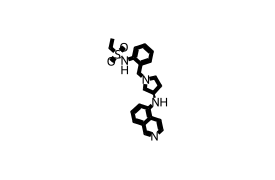 CCS(=O)(=O)Nc1ccccc1CN1CC[C@@H](Nc2cccc3cnccc23)C1